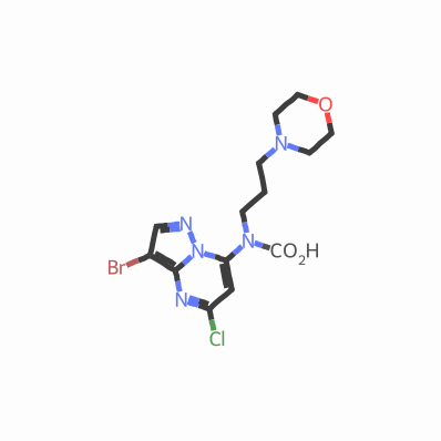 O=C(O)N(CCCN1CCOCC1)c1cc(Cl)nc2c(Br)cnn12